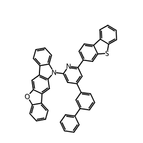 c1ccc(-c2cccc(-c3cc(-c4ccc5c(c4)sc4ccccc45)nc(-n4c5ccccc5c5cc6oc7ccccc7c6cc54)c3)c2)cc1